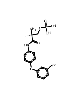 CC(C)c1cccc(Oc2ccc(NC(=O)[C@@](C)(N)COP(=O)(O)O)cc2)c1